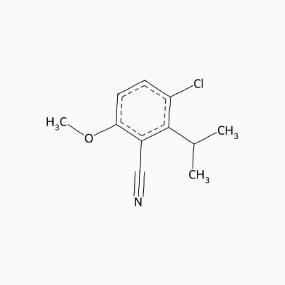 COc1ccc(Cl)c(C(C)C)c1C#N